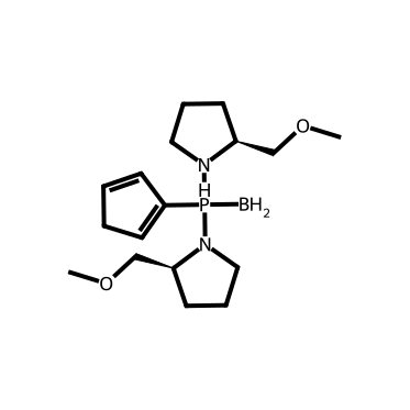 B[PH](C1=CCC=C1)(N1CCC[C@H]1COC)N1CCC[C@H]1COC